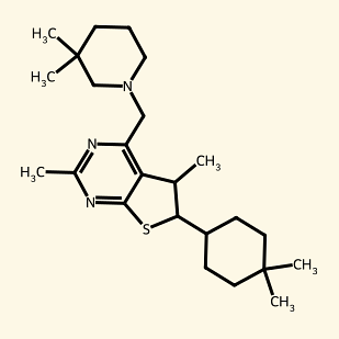 Cc1nc(CN2CCCC(C)(C)C2)c2c(n1)SC(C1CCC(C)(C)CC1)C2C